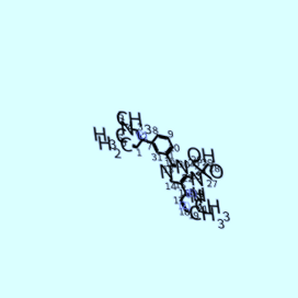 C=C/C(=C\N(C)C)c1cccc(-c2ncc(C(/C=C\C)=N/C)c(NC3(CO)COC3)n2)c1